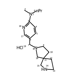 CCCN(C)c1ccc(CN2CCC3(CCNC3)C2)cn1.Cl